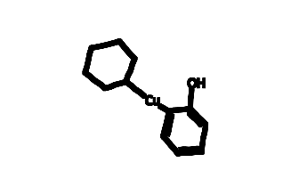 Oc1cccc[c]1[Cu][CH]1CCCCC1